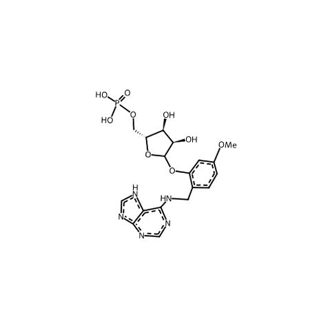 COc1ccc(CNc2ncnc3nc[nH]c23)c(OC2O[C@H](COP(=O)(O)O)[C@@H](O)[C@H]2O)c1